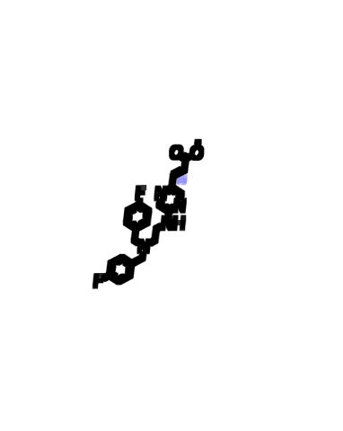 COC(=O)/C=C/c1cnc(NCCN(Cc2ccc(F)cc2)Cc2ccc(F)cc2)cn1